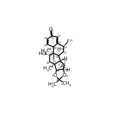 CC(=O)[C@@]12OC(C)(C)O[C@@H]1C[C@H]1[C@@H]3C[C@H](F)C4=CC(=O)C=C[C@]4(C)[C@@]3(F)[C@@H](O)C[C@@]12C